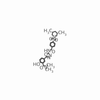 C[C@@H]1C[C@H](C)CN(S(=O)(=O)c2ccc(C(=O)Nc3nnc(-c4ccc(O)c(C(=O)N(C)C)c4)o3)cc2)C1